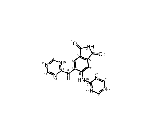 O=C1NC(=O)c2cc(Nc3ncncn3)c(Nc3ncncn3)cc21